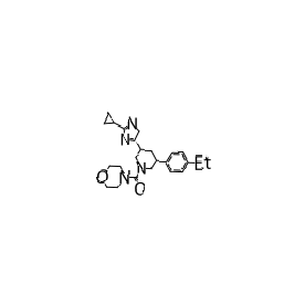 CCc1ccc(C2CC(C3=NC(C4CC4)=NC3)CN(C(=O)N3CCOCC3)C2)cc1